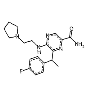 CC(c1ccc(F)cc1)c1nc(C(N)=O)cnc1NCCN1CCCC1